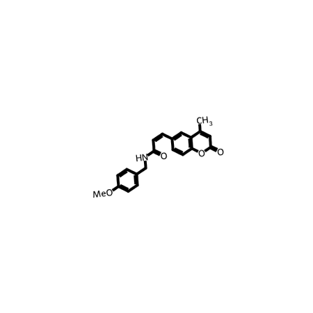 COc1ccc(CNC(=O)/C=C\c2ccc3oc(=O)cc(C)c3c2)cc1